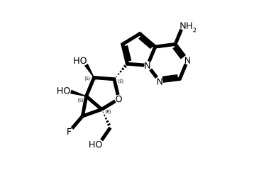 Nc1ncnn2c([C@@H]3O[C@@]4(CO)C(F)[C@]4(O)[C@H]3O)ccc12